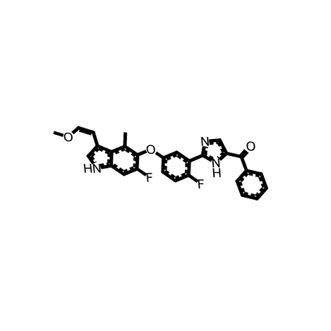 CO/C=C\c1c[nH]c2cc(F)c(Oc3ccc(F)c(-c4ncc(C(=O)c5ccccc5)[nH]4)c3)c(C)c12